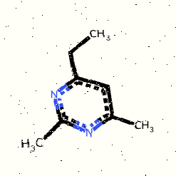 CCc1cc(C)nc(C)n1